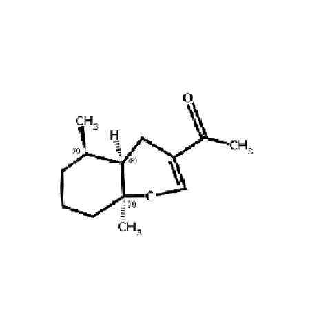 CC(=O)C1=CC[C@@]2(C)CCC[C@@H](C)[C@H]2C1